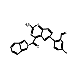 Nc1nc(C(=O)n2cc3ccccc3c2)c2cc(-c3ccc(F)cc3C=O)ccc2n1